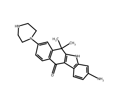 CC1(C)c2cc(N3CCNCC3)ccc2C(=O)c2c1[nH]c1cc(N)ccc21